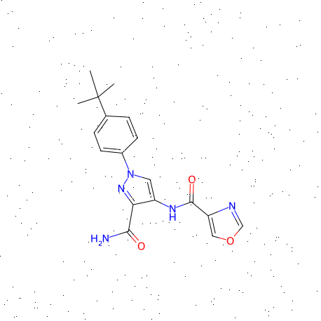 CC(C)(C)c1ccc(-n2cc(NC(=O)c3cocn3)c(C(N)=O)n2)cc1